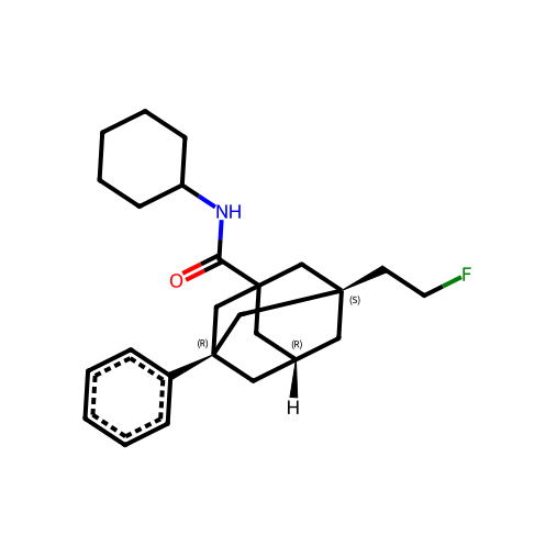 O=C(NC1CCCCC1)C12C[C@@H]3C[C@@](CCF)(C1)C[C@](c1ccccc1)(C3)C2